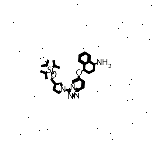 CC(C)[Si](OCC1CCN(c2nnc3ccc(O[C@@H]4CC[C@H](N)c5ccccc54)cn23)C1)(C(C)C)C(C)C